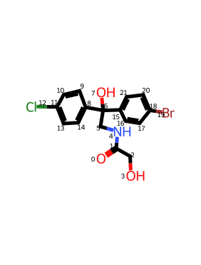 O=C(CO)NCC(O)(c1ccc(Cl)cc1)c1ccc(Br)cc1